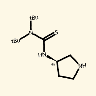 CC(C)(C)N(C(=S)N[C@@H]1CCNC1)C(C)(C)C